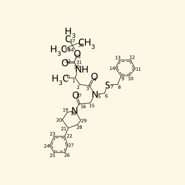 CC(CC(=O)N(CSCc1ccccc1)CC(=O)N1CCC(c2ccccc2)CC1)NC(=O)OC(C)(C)C